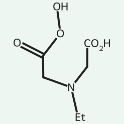 CCN(CC(=O)O)CC(=O)OO